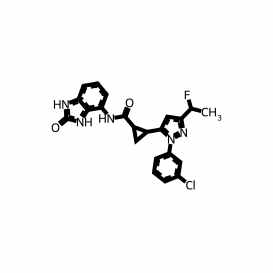 CC(F)c1cc(C2CC2C(=O)Nc2cccc3[nH]c(=O)[nH]c23)n(-c2cccc(Cl)c2)n1